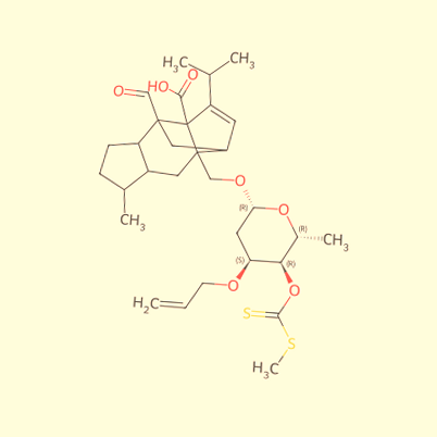 C=CCO[C@H]1C[C@H](OCC23CC4C(C)CCC4C4(C=O)CC2C=C(C(C)C)C43C(=O)O)O[C@H](C)[C@H]1OC(=S)SC